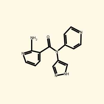 Nc1ncccc1C(=O)N(c1ccncc1)c1cn[nH]c1